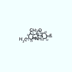 Cc1cc(C)c2c(C=O)c(-c3ccc(F)cc3)[nH]c2c1